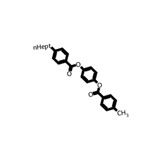 CCCCCCCc1ccc(C(=O)Oc2ccc(OC(=O)c3ccc(C)cc3)cc2)cc1